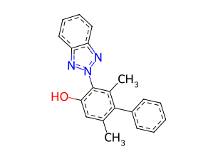 Cc1cc(O)c(-n2nc3ccccc3n2)c(C)c1-c1ccccc1